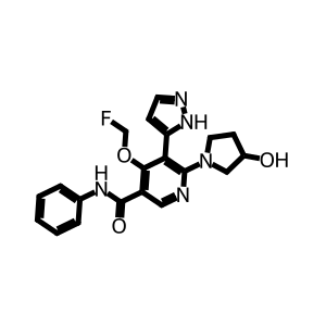 O=C(Nc1ccccc1)c1cnc(N2CCC(O)C2)c(-c2ccn[nH]2)c1OCF